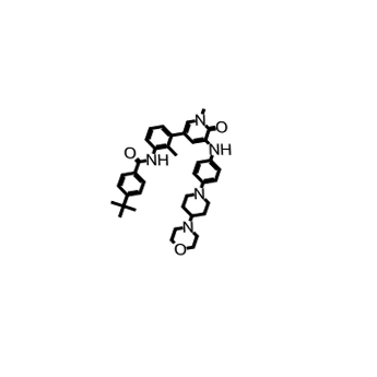 Cc1c(NC(=O)c2ccc(C(C)(C)C)cc2)cccc1-c1cc(Nc2ccc(N3CCC(N4CCOCC4)CC3)cc2)c(=O)n(C)c1